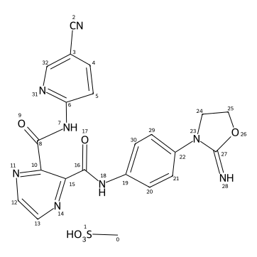 CS(=O)(=O)O.N#Cc1ccc(NC(=O)c2nccnc2C(=O)Nc2ccc(N3CCOC3=N)cc2)nc1